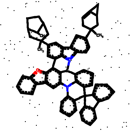 CC1C2CCC1CC(C)(c1cc3c4c(c1)c1cc(C5(C)CC=C6CC6C5)ccc1n4B1c4cccc5c4N(c4ccccc4C54c5ccccc5-c5ccccc54)c4cc5c(oc6ccccc65)c-3c41)C2